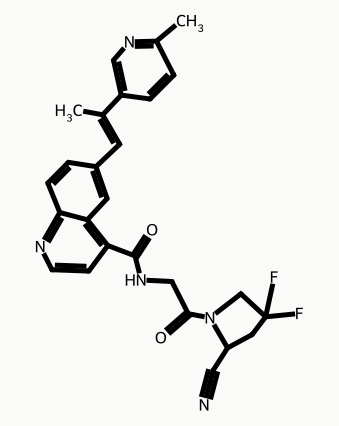 C/C(=C\c1ccc2nccc(C(=O)NCC(=O)N3CC(F)(F)CC3C#N)c2c1)c1ccc(C)nc1